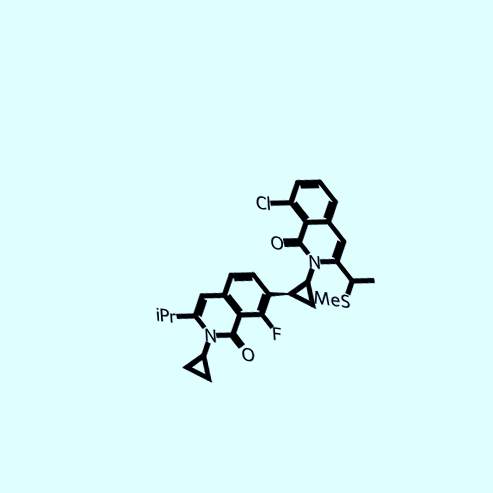 CSC(C)c1cc2cccc(Cl)c2c(=O)n1C1C[C@H]1c1ccc2cc(C(C)C)n(C3CC3)c(=O)c2c1F